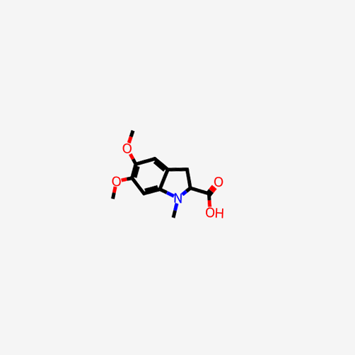 COc1cc2c(cc1OC)N(C)C(C(=O)O)C2